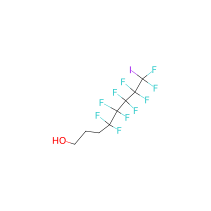 OCCCC(F)(F)C(F)(F)C(F)(F)C(F)(F)C(F)(F)I